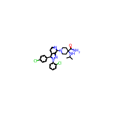 CC(C)NC1(C(N)=O)CCN(c2nccc3c(-c4ccc(Cl)cc4)n(-c4ccccc4Cl)nc23)CC1